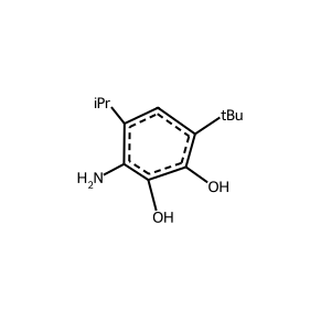 CC(C)c1cc(C(C)(C)C)c(O)c(O)c1N